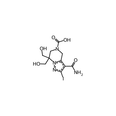 NC(=O)c1c(I)nn2c1CN(C(=O)O)CC2(CO)CO